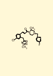 CC1CN(Cc2ccc(F)cc2)CCN1C(=O)C=Cc1ccc(Cl)cc1Cc1nnn(C)n1